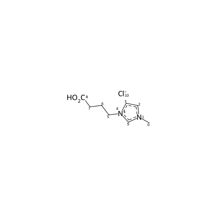 Cn1cc[n+](CCCC(=O)O)c1.[Cl-]